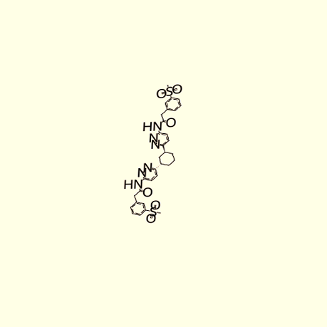 CS(=O)(=O)c1cccc(CC(=O)Nc2ccc([C@H]3CCC[C@H](c4ccc(NC(=O)Cc5cccc(S(C)(=O)=O)c5)nn4)C3)nn2)c1